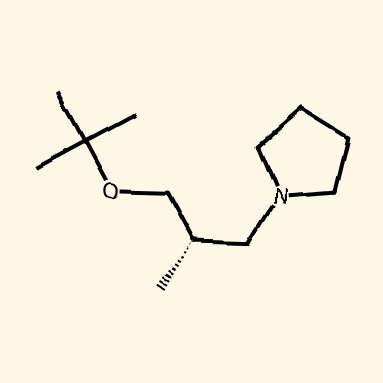 C[C@H](COC(C)(C)C)CN1CCCC1